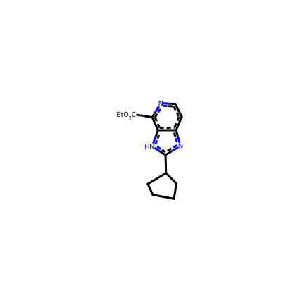 CCOC(=O)c1nccc2nc(C3CCCC3)[nH]c12